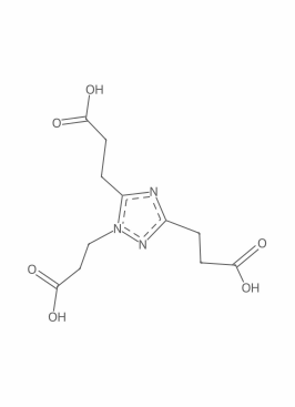 O=C(O)CCc1nc(CCC(=O)O)n(CCC(=O)O)n1